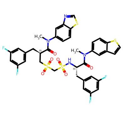 CN(C(=O)[C@H](Cc1cc(F)cc(F)c1)CS(=O)(=O)CS(=O)(=O)N[C@@H](Cc1cc(F)cc(F)c1)C(=O)N(C)c1ccc2sccc2c1)c1ccc2scnc2c1